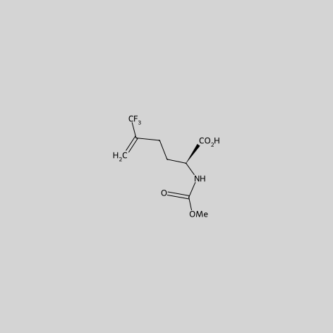 C=C(CC[C@H](NC(=O)OC)C(=O)O)C(F)(F)F